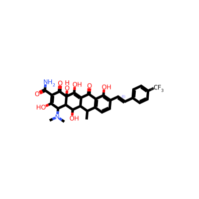 CC1c2ccc(/C=C/c3ccc(C(F)(F)F)cc3)c(O)c2C(=O)C2=C(O)C3(O)C(=O)C(C(N)=O)=C(O)C(N(C)C)C3C(O)C21